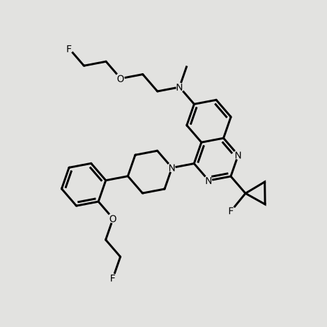 CN(CCOCCF)c1ccc2nc(C3(F)CC3)nc(N3CCC(c4ccccc4OCCF)CC3)c2c1